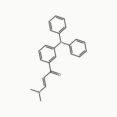 CN(C)C=CC(=O)c1cccc(P(c2ccccc2)c2ccccc2)c1